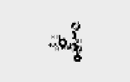 Cl.Cl.NC1CCC(Nc2nc(NCCCN3CCOCC3)c3ncn(C4CCCC4)c3n2)CC1